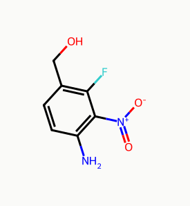 Nc1ccc(CO)c(F)c1[N+](=O)[O-]